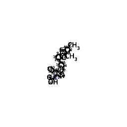 Cc1ccc(C2(C)Oc3cccc(C4CCN(Cc5ncc(/C=C/C(=O)O)n5C[C@@H]5CCOC5)CC4)c3O2)c(F)c1